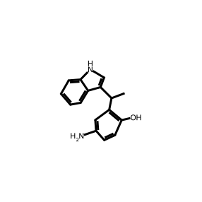 CC(c1cc(N)ccc1O)c1c[nH]c2ccccc12